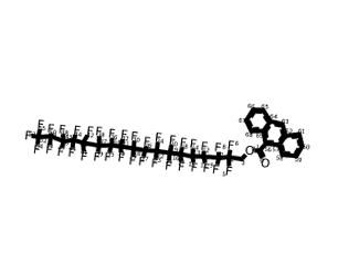 O=C(OCC(F)(F)C(F)(F)C(F)(F)C(F)(F)C(F)(F)C(F)(F)C(F)(F)C(F)(F)C(F)(F)C(F)(F)C(F)(F)C(F)(F)C(F)(F)C(F)(F)C(F)(F)C(F)(F)C(F)(F)F)c1c2ccccc2cc2ccccc12